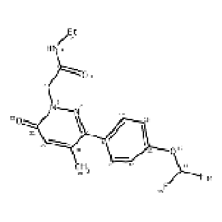 CCNC(=O)Cn1nc(-c2ccc(OC(F)F)cc2)c(C)cc1=O